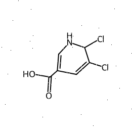 O=C(O)C1=CNC(Cl)C(Cl)=C1